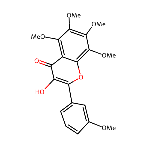 COc1cccc(-c2oc3c(OC)c(OC)c(OC)c(OC)c3c(=O)c2O)c1